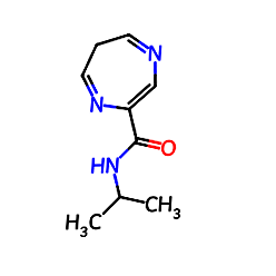 CC(C)NC(=O)C1=CN=CCC=N1